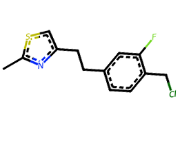 Cc1nc(CCc2ccc(CCl)c(F)c2)cs1